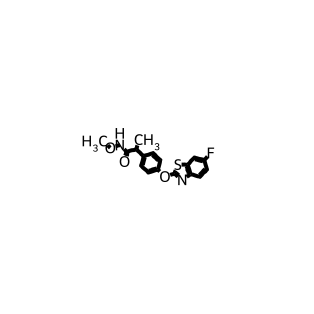 CONC(=O)C(C)c1ccc(Oc2nc3ccc(F)cc3s2)cc1